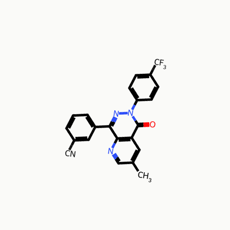 Cc1cnc2c(-c3cccc(C#N)c3)nn(-c3ccc(C(F)(F)F)cc3)c(=O)c2c1